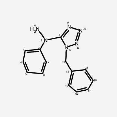 NN(c1ccccc1)c1nnnn1Cc1ccccc1